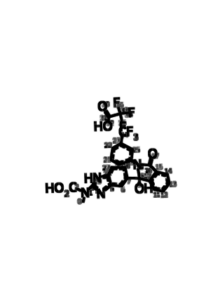 CN(C(=O)O)c1nc2cc(C3(O)c4ccccc4C(=O)N3c3cccc(C(F)(F)F)c3)ccc2[nH]1.O=C(O)C(F)(F)F